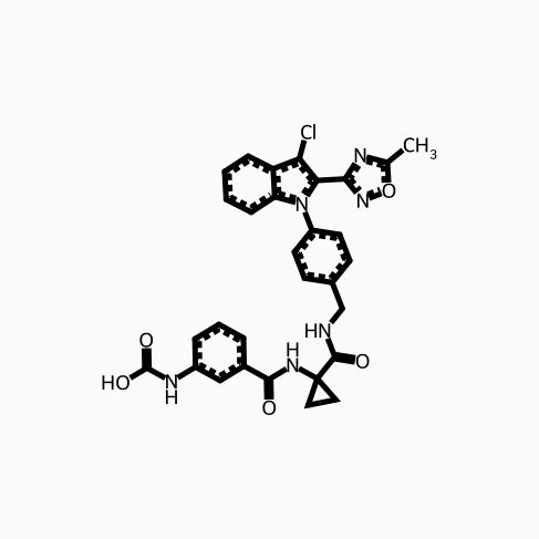 Cc1nc(-c2c(Cl)c3ccccc3n2-c2ccc(CNC(=O)C3(NC(=O)c4cccc(NC(=O)O)c4)CC3)cc2)no1